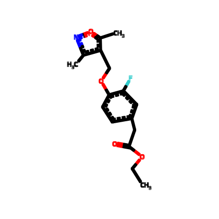 CCOC(=O)Cc1ccc(OCc2c(C)noc2C)c(F)c1